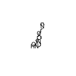 O=C1NCCCn2c1cc1cc(OCCCN3CCCC3)ccc12